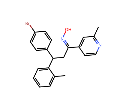 Cc1cc(C(CC(c2ccc(Br)cc2)c2ccccc2C)=NO)ccn1